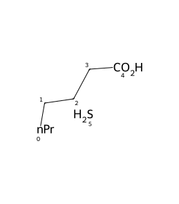 CCCCCCC(=O)O.S